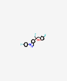 OC(CF)(Cc1cccc(F)c1)c1ccc2c(cnn2-c2ccc(F)cc2)c1